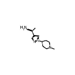 C/C(=C\N)c1cnn(C2CCN(C)CC2)c1